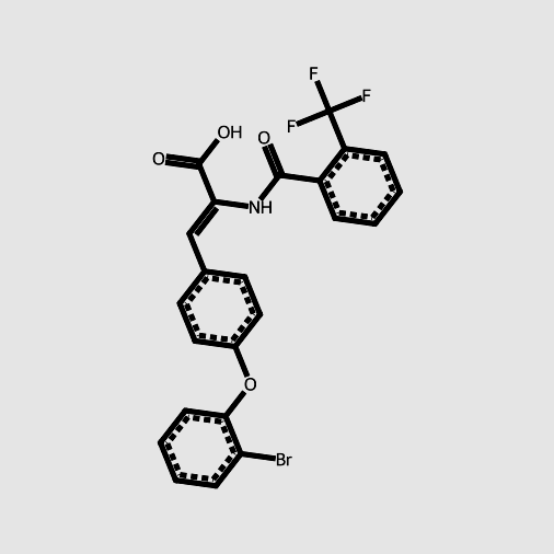 O=C(O)C(=Cc1ccc(Oc2ccccc2Br)cc1)NC(=O)c1ccccc1C(F)(F)F